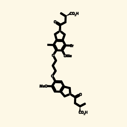 COc1cc2c(cc1OCCCOc1c(C)c3c(c(Br)c1OC)CN(C(=O)C[C@H](C)C(=O)O)C3)CN(C(=O)C[C@H](C)C(=O)O)C2